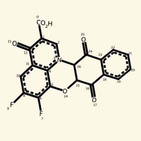 O=C(O)c1cn2c3c(c(F)c(F)cc3c1=O)OC1C(=O)c3ccccc3C(=O)C12